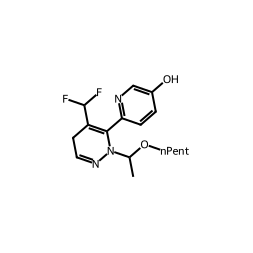 CCCCCOC(C)N1N=CCC(C(F)F)=C1c1ccc(O)cn1